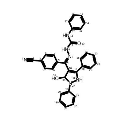 N#Cc1ccc(/C(=N\NC(=O)Nc2ccccc2)C2=C(c3ccccc3)NN(c3ccccc3)C2O)cc1